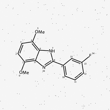 COc1ccc(OC)c2[nH]c(-c3cccc(F)c3)nc12